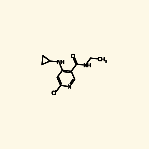 CCNC(=O)c1cnc(Cl)cc1NC1CC1